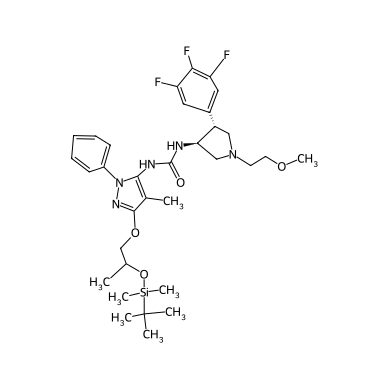 COCCN1C[C@@H](NC(=O)Nc2c(C)c(OCC(C)O[Si](C)(C)C(C)(C)C)nn2-c2ccccc2)[C@H](c2cc(F)c(F)c(F)c2)C1